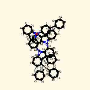 c1ccc(-c2ccc(-n3c4ccccc4c4ccc(-n5c6cccc([Si](c7ccccc7)(c7ccccc7)c7ccccc7)c6c6cccc(-n7c8ccccc8c8ccccc87)c65)cc43)cc2)cc1